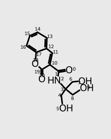 O=C(NC(CO)(CO)CO)c1cc2ccccc2oc1=O